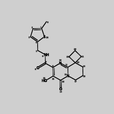 Cc1ccc(CNC(=O)c2nc3n(c(=O)c2O)CCCC32CCC2)s1